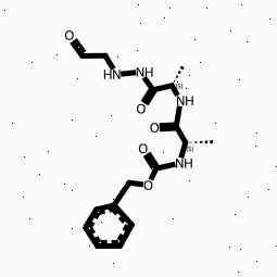 C[C@H](NC(=O)OCc1ccccc1)C(=O)N[C@@H](C)C(=O)NNCC=O